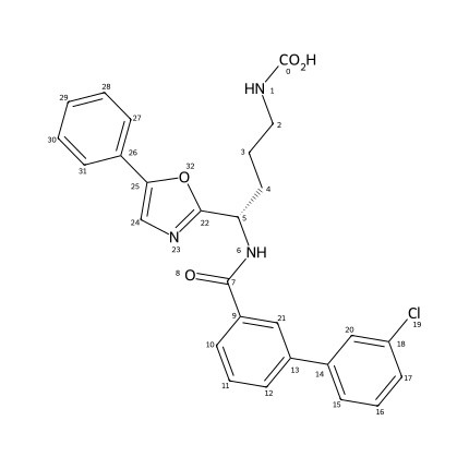 O=C(O)NCCC[C@H](NC(=O)c1cccc(-c2cccc(Cl)c2)c1)c1ncc(-c2ccccc2)o1